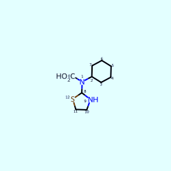 O=C(O)N(C1CCCCC1)C1NCCS1